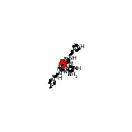 CN1CCN(CCCNc2nn3ccccc3c2/N=C2\N/C(=N\c3c(NCCCN4CCNCC4)nn4ccccc34)C(=N)C=C2N)CC1